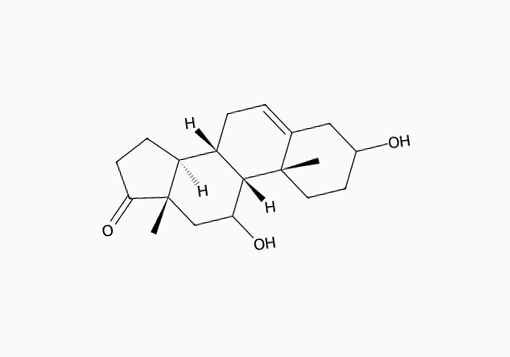 C[C@]12CCC(O)CC1=CC[C@@H]1[C@H]2C(O)C[C@]2(C)C(=O)CC[C@@H]12